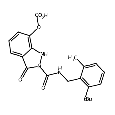 Cc1cccc(C(C)(C)C)c1CNC(=O)n1[nH]c2c(OC(=O)O)cccc2c1=O